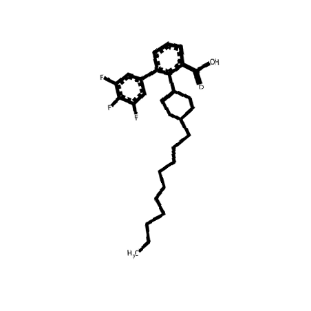 CCCCCCCCCCC1CCC(c2c(C(=O)O)cccc2-c2cc(F)c(F)c(F)c2)CC1